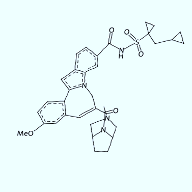 COc1ccc2c(c1)C=C(C(=O)N1C3CCC1CN(C)C3)Cn1c-2cc2ccc(C(=O)NS(=O)(=O)C3(CC4CC4)CC3)cc21